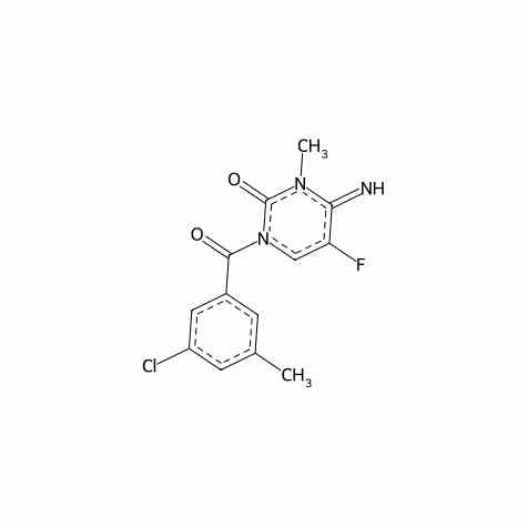 Cc1cc(Cl)cc(C(=O)n2cc(F)c(=N)n(C)c2=O)c1